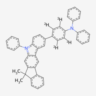 [2H]c1c([2H])c(N(c2ccccc2)c2ccccc2)c([2H])c([2H])c1-c1ccc2c(c1)c1cc3c(cc1n2-c1ccccc1)C(C)(C)c1ccccc1-3